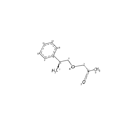 CC(=O)COC[C@@H](C)c1ccccc1